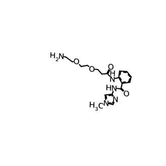 Cn1cnc(NC(=O)c2ccccc2NC(=O)CCOCCOCCN)c1